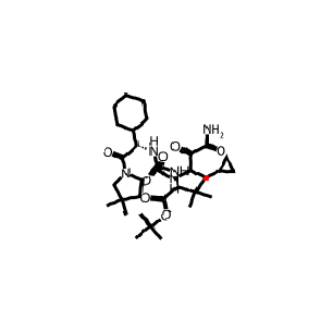 CC1(C)C[C@@H](C(=O)NC(CC2CC2)C(=O)C(N)=O)N(C(=O)[C@@H](NC(=O)N[C@H](C(=O)OC(C)(C)C)C(C)(C)C)C2CCCCC2)C1